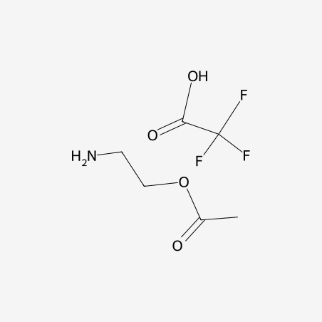 CC(=O)OCCN.O=C(O)C(F)(F)F